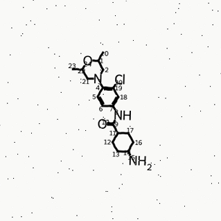 CC1CN(c2ccc(NC(=O)C3CCC(N)CC3)cc2Cl)CC(C)O1